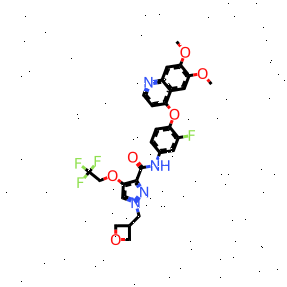 COc1cc2nccc(Oc3ccc(NC(=O)c4nn(CC5COC5)cc4OCC(F)(F)F)cc3F)c2cc1OC